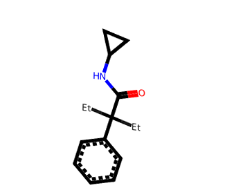 CCC(CC)(C(=O)NC1CC1)c1ccccc1